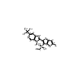 CCS(=O)(=O)c1c(-c2nc3cc(C(F)(F)F)ncc3n2C)sc2cc(C)sc12